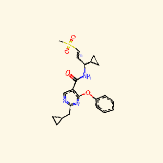 CS(=O)(=O)/C=C/C(NC(=O)c1cnc(CC2CC2)nc1Oc1ccccc1)C1CC1